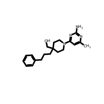 Cc1cc(N2CCC(CO)(CCCc3ccccc3)CC2)nc(N)n1